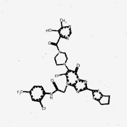 CCc1c(N2CCN(C(=O)c3ncnc(C)c3O)CC2)c(=O)n2nc(-c3nc4c(s3)CCC4)nc2n1CC(=O)Nc1ccc(C(F)(F)F)cc1Cl